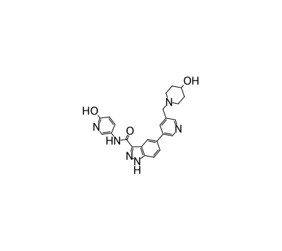 O=C(Nc1ccc(O)nc1)c1n[nH]c2ccc(-c3cncc(CN4CCC(O)CC4)c3)cc12